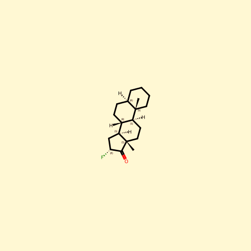 C[C@]12CCCC[C@@H]1CC[C@@H]1[C@@H]2CC[C@]2(C)C(=O)[C@H](F)C[C@@H]12